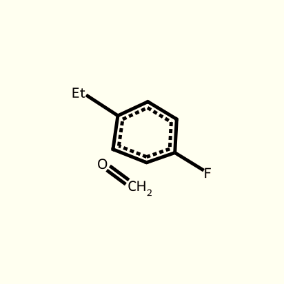 C=O.CCc1ccc(F)cc1